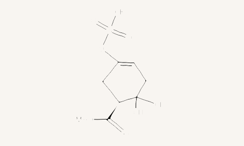 COC(=O)[C@H]1CC(OS(=O)(=O)C(F)(F)F)=CCC1(C)C